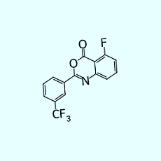 O=c1oc(-c2cccc(C(F)(F)F)c2)nc2cccc(F)c12